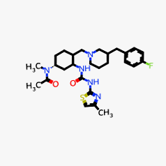 CC(=O)N(C)[C@@H]1CCC(CN2CCCC(Cc3ccc(F)cc3)C2)C(NC(=O)Nc2nc(C)cs2)C1